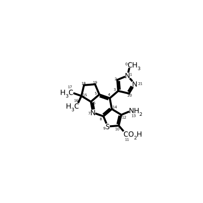 Cn1cc(-c2c3c(nc4sc(C(=O)O)c(N)c24)C(C)(C)CC3)cn1